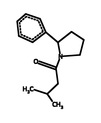 CC(C)CC(=O)N1CCCC1c1ccccc1